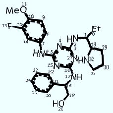 CCC(Nc1nc(Nc2ccc(OC)c(F)c2)nc(NC(CO)c2ccccc2)n1)C1CCCN1